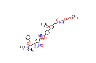 COCCOCCNC(=O)CCc1ccc(-c2ccc(C(=O)NS(=O)(=O)c3ccc(N[C@@H](CSc4ccccc4)CC(=O)N(C)C)c([N+](=O)[O-])c3)cc2)c(OC)c1